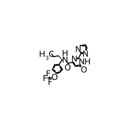 CCC[C@@H](NC(=O)c1cc(=O)[nH]c(-c2ncccn2)n1)c1ccc(OC(F)(F)F)cc1